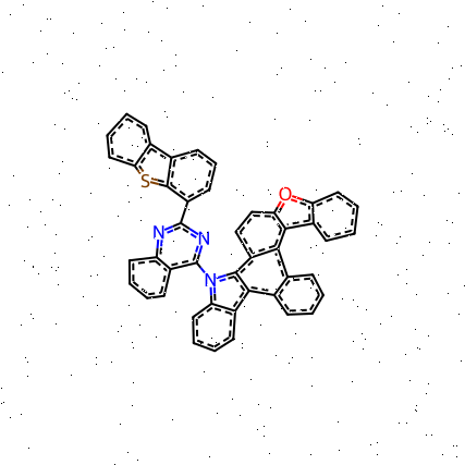 c1ccc2c(-n3c4ccccc4c4c5ccccc5c5c(ccc6oc7ccccc7c65)c43)nc(-c3cccc4c3sc3ccccc34)nc2c1